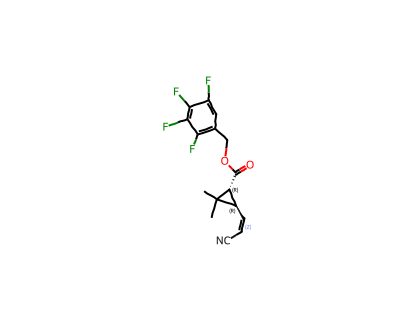 CC1(C)[C@H](/C=C\C#N)[C@H]1C(=O)OCc1cc(F)c(F)c(F)c1F